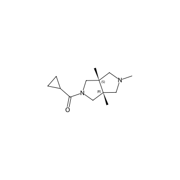 CN1C[C@@]2(C)CN(C(=O)C3CC3)C[C@@]2(C)C1